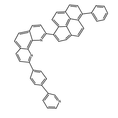 c1ccc(-c2ccc3ccc4c(-c5ccc6ccc7ccc(-c8ccc(-c9cccnc9)cc8)nc7c6n5)ccc5ccc2c3c54)cc1